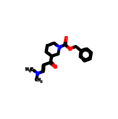 CN(C)/C=C/C(=O)C1CCCN(C(=O)OCc2ccccc2)C1